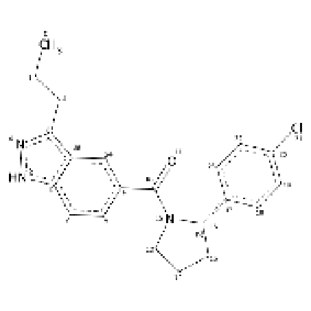 CCCc1n[nH]c2ccc(C(=O)N3CCC[C@H]3c3ccc(Cl)cc3)cc12